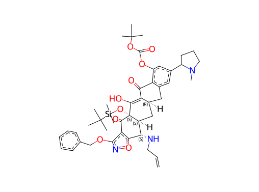 C=CCN[C@@H]1c2onc(OCc3ccccc3)c2C(=O)[C@@]2(O[Si](C)(C)C(C)(C)C)C(O)=C3C(=O)c4c(cc(C5CCCN5C)cc4OC(=O)OC(C)(C)C)C[C@H]3C[C@@H]12